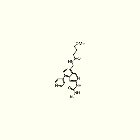 CCNC(=O)Nc1cc2c(-c3ccncc3)ccc(CNC(=O)CCCOC)c2cn1